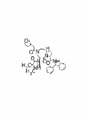 CN[C@@H](C)C(=O)N[C@H]1CN(C(=O)CC2CCOC2)CC[C@H]2CC[C@@H](C(=O)NC(c3ccccc3)c3ccccc3)N2C1=O